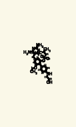 CCOc1cc(Cc2cnc(N)nc2N)cc(OS(=O)(=O)CC(C)C)c1-c1ccc(NCCO)cc1